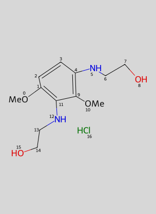 COc1ccc(NCCO)c(OC)c1NCCO.Cl